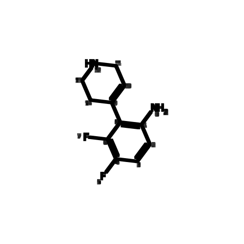 Nc1ccc(F)c(F)c1C1=CCNCC1